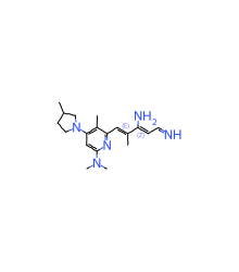 CC(=C\c1nc(N(C)C)cc(N2CCC(C)C2)c1C)/C(N)=C/C=N